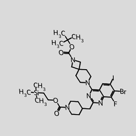 CC(C)(C)OC(=O)N1CC2(CCN(c3nc(CC4CCN(C(=O)OCC[Si](C)(C)C)CC4)nc4c(F)c(Br)c(I)cc34)CC2)C1